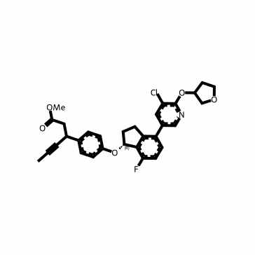 CC#CC(CC(=O)OC)c1ccc(O[C@@H]2CCc3c(-c4cnc(OC5CCOC5)c(Cl)c4)ccc(F)c32)cc1